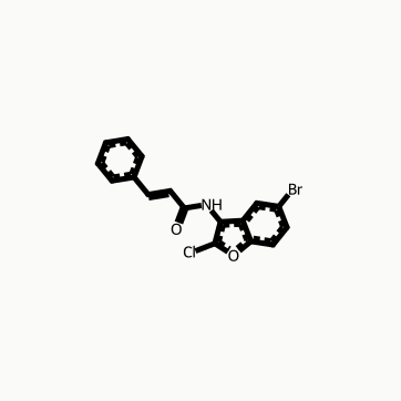 O=C(C=Cc1ccccc1)Nc1c(Cl)oc2ccc(Br)cc12